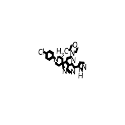 CC1COCCN1c1cc(C2(C#N)CCN(c3ccc(Cl)cc3)CC2)c2ccnc(-c3ccn[nH]3)c2n1